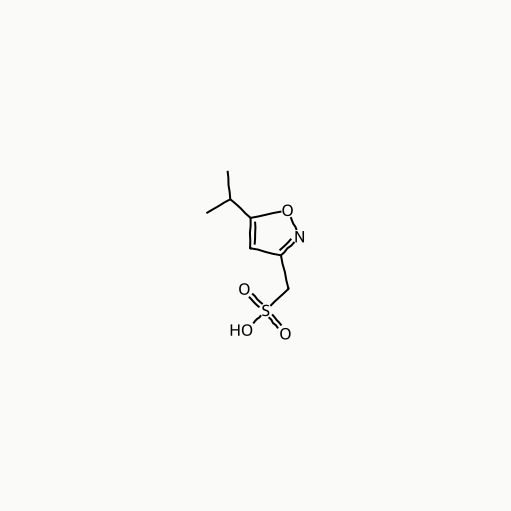 CC(C)c1cc(CS(=O)(=O)O)no1